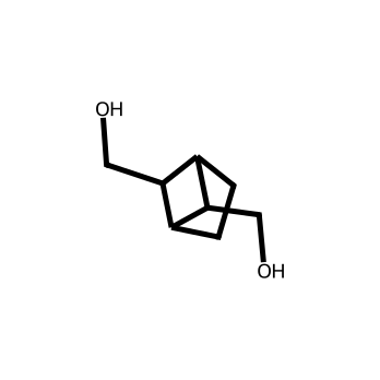 OCC1C2CCC1C2CO